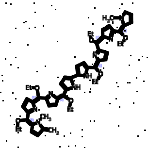 C=c1cc/c(=C(\OCC)C2=N/C(=C(/OCC)C3=N/C(=C(/OCC)c4ccc(-c5ccc(/C(OCC)=C6/C=CC(C(/OCC)=C7/C=CC(C(/OCC)=C8/C=CCN8C)=N7)=N6)[nH]5)[nH]4)C=C3)C=C2)n1C